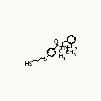 CN(C)C(C)(Cc1ccccc1)C(=O)c1ccc(SCCCS)cc1